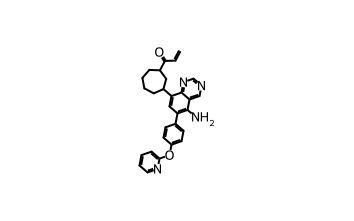 C=CC(=O)C1CCCCC(c2cc(-c3ccc(Oc4ccccn4)cc3)c(N)c3cncnc23)C1